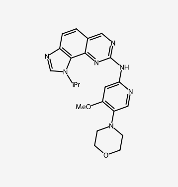 COc1cc(Nc2ncc3ccc4ncn(C(C)C)c4c3n2)ncc1N1CCOCC1